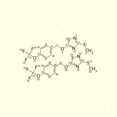 CSc1nsc(OCc2ccc(OC(F)(F)F)cc2)n1.CSc1nsc(OCc2ccc(OC(F)(F)F)cc2)n1